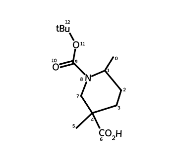 CC1CCC(C)(C(=O)O)CN1C(=O)OC(C)(C)C